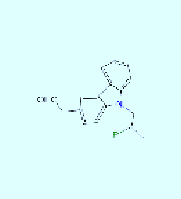 CC(F)Cn1c2ccccc2c2cc(CC=O)ccc21